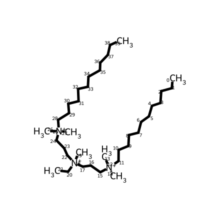 CCCCCCCCCCCC[N+](C)(C)CCC[N+](C)(CC)CCC[N+](C)(C)CCCCCCCCCCCC